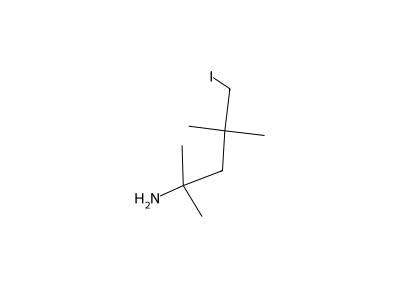 CC(C)(N)CC(C)(C)CI